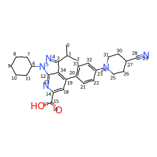 CC(C)c1nn(C2CCCCC2)c2nc(C(=O)O)cc(-c3ccc(N4CCC(C#N)CC4)cc3)c12